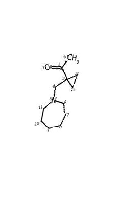 CC(=O)C1(CN2CCCCCC2)CC1